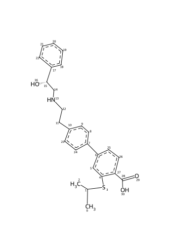 CC(C)Sc1cc(-c2ccc(CCNC[C@H](O)c3ccccc3)cc2)ccc1C(=O)O